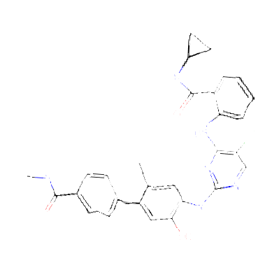 CNC(=O)c1ccc(-c2cc(O)c(Nc3ncc(Cl)c(Nc4ccccc4C(=O)NC4CC4)n3)cc2C)cc1